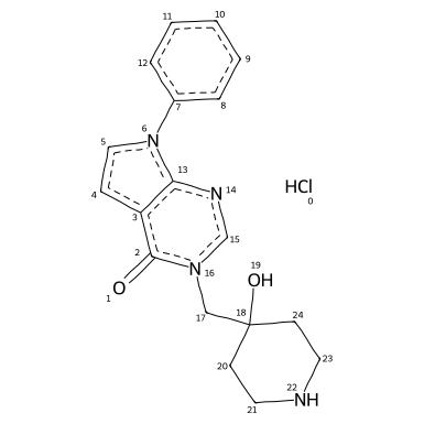 Cl.O=c1c2ccn(-c3ccccc3)c2ncn1CC1(O)CCNCC1